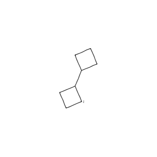 [C]1CCC1C1CCC1